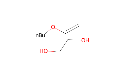 C=COCCCC.OCCO